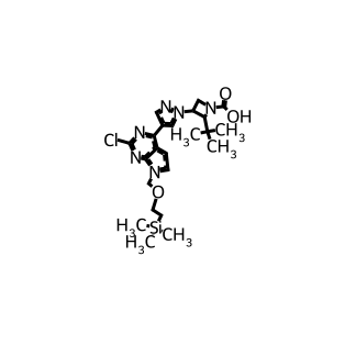 CC(C)(C)C1C(n2cc(-c3nc(Cl)nc4c3ccn4COCC[Si](C)(C)C)cn2)CN1C(=O)O